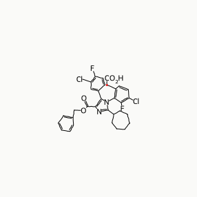 O=C(O)Cc1ccc(Cl)c(F)c1-n1c(C2CCCCCC2)nc(C(=O)OCc2ccccc2)c1-c1ccc(F)c(Cl)c1